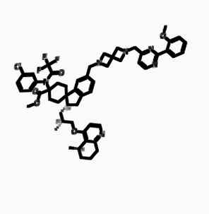 COC(=O)C1(N(C(=O)C(F)(F)F)c2cccc(Cl)c2)CCC2(CC1)c1cc(CN3CC4(C3)CN(Cc3ccnc(-c5ccccc5OC)n3)C4)ccc1C[C@@H]2C[C@@H](C)COc1ccnc2c1[C@H](C)CCC2